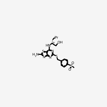 CC(C)C[C@H](CO)Nc1nc(SCc2ccc(S(C)(=O)=O)cc2)nc2nc(N)sc12